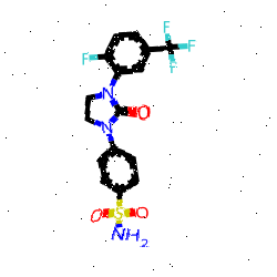 NS(=O)(=O)c1ccc(N2CCN(c3cc(C(F)(F)F)ccc3F)C2=O)cc1